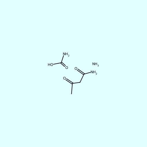 CC(=O)CC(N)=O.N.NC(=O)O